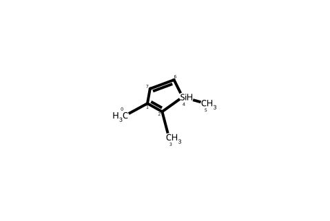 CC1=C(C)[SiH](C)C=C1